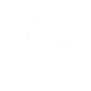 C#CCN(C(=O)NC)N1CC(=O)N2[C@@H](Cc3ccc(O)cn3)C(=O)N(Cc3cccc4sc(N)nc34)C[C@@H]21